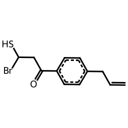 C=CCc1ccc(C(=O)CC(S)Br)cc1